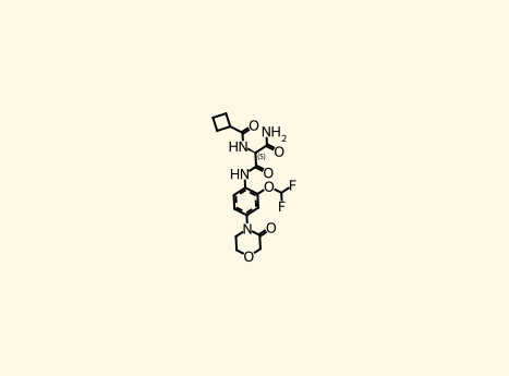 NC(=O)[C@H](NC(=O)C1CCC1)C(=O)Nc1ccc(N2CCOCC2=O)cc1OC(F)F